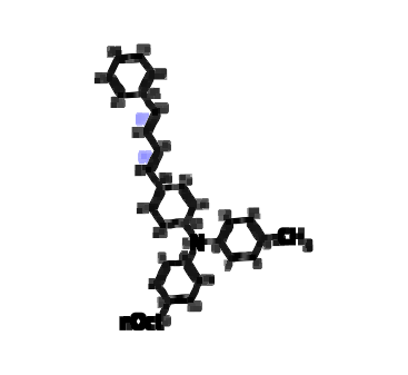 CCCCCCCCc1ccc(N(c2ccc(C)cc2)c2ccc(/C=C/C=C/c3ccccc3)cc2)cc1